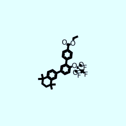 CCOC(=O)c1ccc(-c2cc(-c3ccc4c(c3)C(C)(C)CCC4(C)C)ccc2OS(=O)(=O)C(F)(F)F)cc1